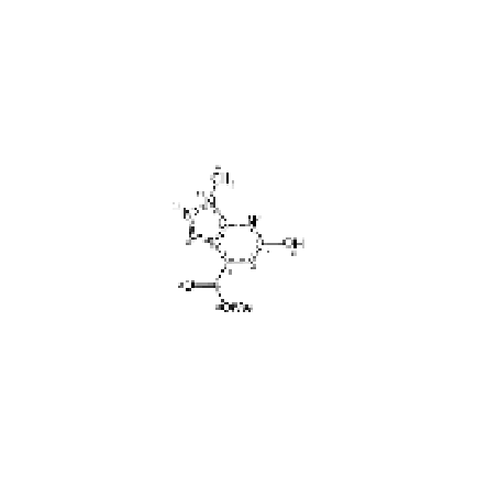 COC(=O)c1cc(O)nc2c1cnn2C